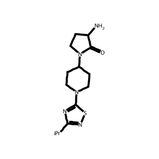 CC(C)c1nsc(N2CCC(N3CCC(N)C3=O)CC2)n1